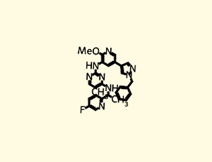 COc1ncc(-c2cnn(Cc3ccccc3)c2)cc1Nc1ncc(C)c(NC(C)c2ccc(F)cn2)n1